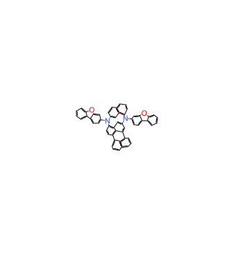 c1ccc(-c2ccc(N(c3ccccc3)c3ccc4c(c3)oc3ccccc34)c3cc(N(c4ccccc4)c4ccc5c(c4)oc4ccccc45)cc(-c4ccccc4)c23)cc1